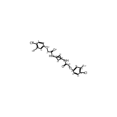 O=C(COc1ccc(Cl)c(F)c1)NC12CC(NC(=O)COc3ccc(Cl)c(F)c3)(C1)C2